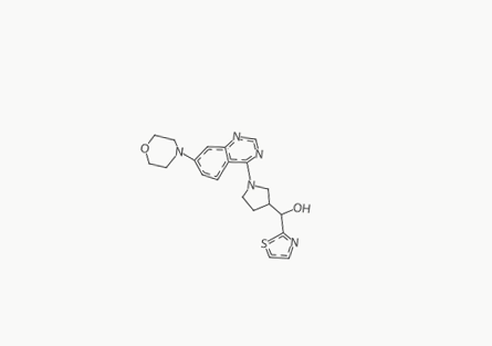 OC(c1nccs1)C1CCN(c2ncnc3cc(N4CCOCC4)ccc23)C1